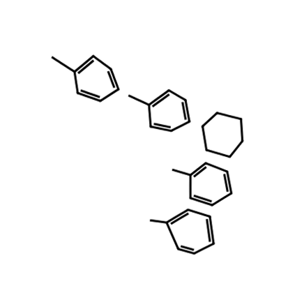 C1CCCCC1.Cc1ccccc1.Cc1ccccc1.Cc1ccccc1.Cc1ccccc1